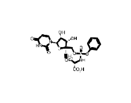 C#C[C@]1(COP(=O)(N[C@@H](C)C(=O)O)Oc2ccccc2)O[C@@H](n2ccc(=O)[nH]c2=O)[C@H](O)[C@@H]1O